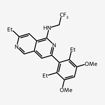 CCc1cc2c(NCC(F)(F)F)nc(-c3c(CC)c(OC)cc(OC)c3CC)cc2cn1